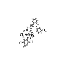 COc1cccc(CCc2ccccc2OCC(CN(C)C)OCOP(=O)(O)OC(CCCl)c2cc(Cl)c(Cl)cc2Cl)c1